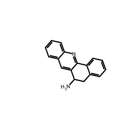 NC1Cc2ccccc2-c2nc3ccccc3cc21